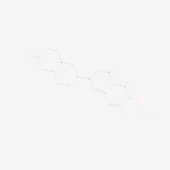 CC1CCC2CC(c3cc(F)c4c(F)c(OC(F)(F)F)c(F)cc4c3)CCC2C1